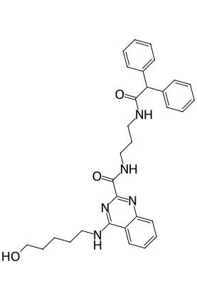 O=C(NCCCNC(=O)C(c1ccccc1)c1ccccc1)c1nc(NCCCCCO)c2ccccc2n1